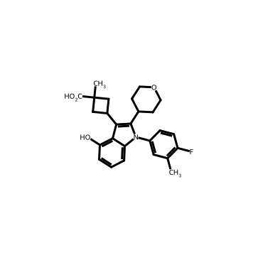 Cc1cc(-n2c(C3CCOCC3)c(C3CC(C)(C(=O)O)C3)c3c(O)cccc32)ccc1F